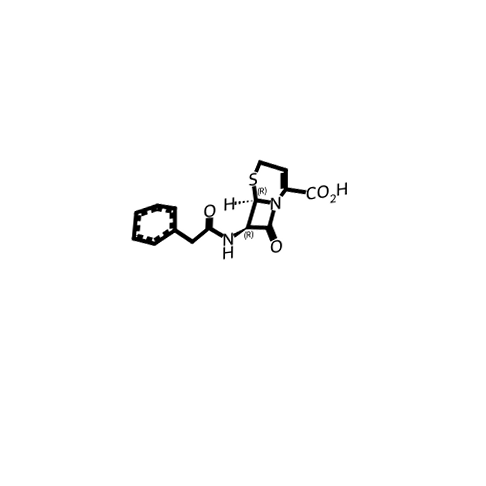 O=C(Cc1ccccc1)N[C@@H]1C(=O)N2C(C(=O)O)=CCS[C@H]12